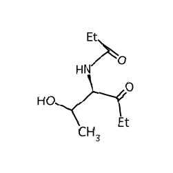 CCC(=O)N[C@@H](C(=O)CC)C(C)O